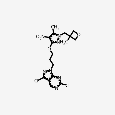 Cc1c([N+](=O)[O-])c(OCCCn2nc(Cl)c3cnc(Cl)nc32)nn1CC1(C)COC1